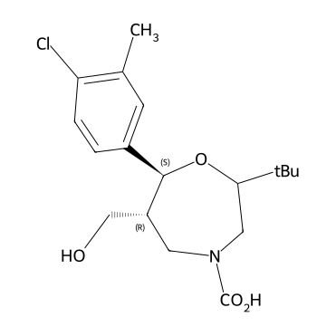 Cc1cc([C@H]2OC(C(C)(C)C)CN(C(=O)O)C[C@@H]2CO)ccc1Cl